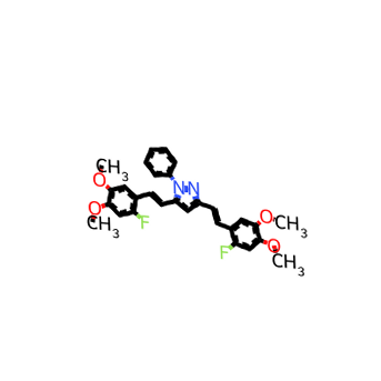 COc1cc(F)c(/C=C/c2cc(/C=C/c3cc(OC)c(OC)cc3F)n(-c3ccccc3)n2)cc1OC